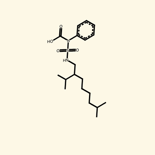 CC(C)CCCCC(CNS(=O)(=O)N(C(=O)O)c1ccccc1)C(C)C